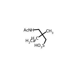 CC(=O)NCC(C)(C)CS(=O)(=O)O.[CaH2]